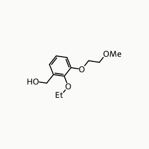 CCOc1c(CO)cccc1OCCOC